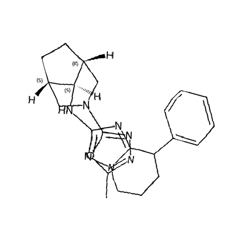 Cc1nnc(N2C[C@H]3CC[C@@H](C2)[C@@H]3Nc2nc3n(n2)CCCC3c2ccccc2)o1